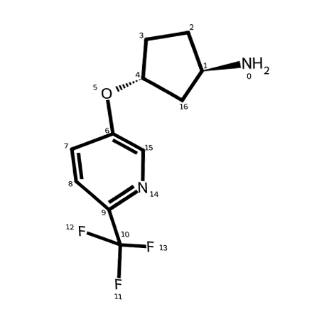 N[C@@H]1CC[C@@H](Oc2ccc(C(F)(F)F)nc2)C1